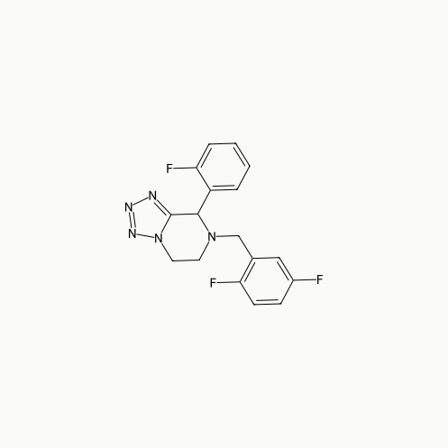 Fc1ccc(F)c(CN2CCn3nnnc3C2c2ccccc2F)c1